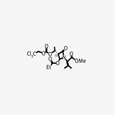 CCC(=O)OC1[C@H](C(C)OC(=O)OCC(Cl)(Cl)Cl)C(=O)N1C(C(=O)OC)=C(C)C